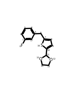 Fc1cccc(Cc2ccc(C3OCCO3)s2)c1